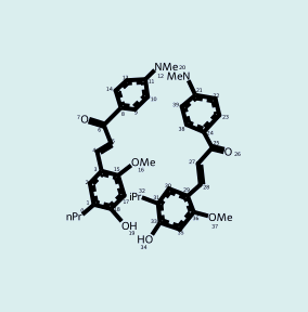 CCCc1cc(C=CC(=O)c2ccc(NC)cc2)c(OC)cc1O.CNc1ccc(C(=O)C=Cc2cc(C(C)C)c(O)cc2OC)cc1